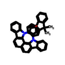 CC1(C)c2ccccc2-c2cc(-n3c4ccccc4c4ccc5ccc6c7ccccc7n(-c7ccccc7)c6c5c43)ccc21